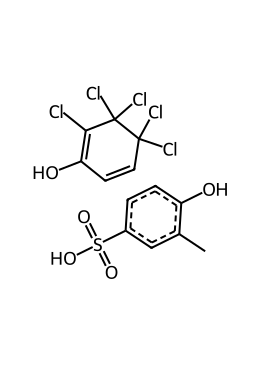 Cc1cc(S(=O)(=O)O)ccc1O.OC1=C(Cl)C(Cl)(Cl)C(Cl)(Cl)C=C1